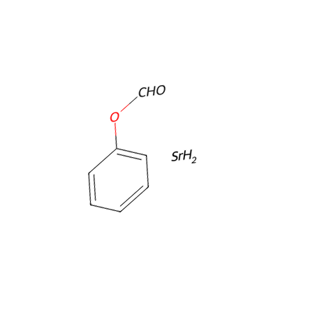 O=COc1ccccc1.[SrH2]